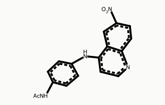 CC(=O)Nc1ccc(Nc2ccnc3ccc([N+](=O)[O-])cc23)cc1